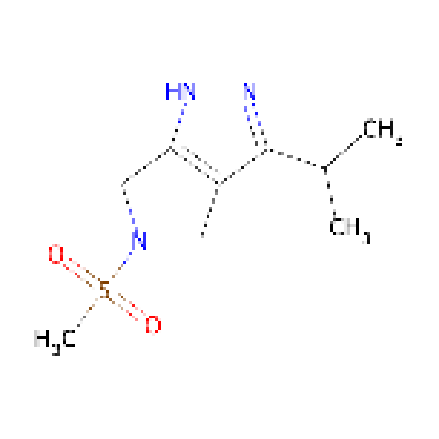 CC(C)c1n[nH]c2c1CN(S(C)(=O)=O)C2